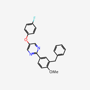 COc1ccc(-c2ncc(Oc3ccc(F)cc3)cn2)cc1Cc1ccccc1